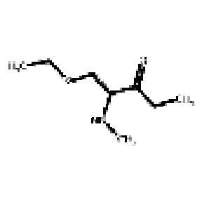 CCSCC(NC)C(=O)CC